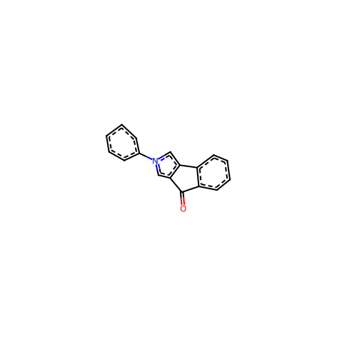 O=C1c2ccccc2-c2cn(-c3ccccc3)cc21